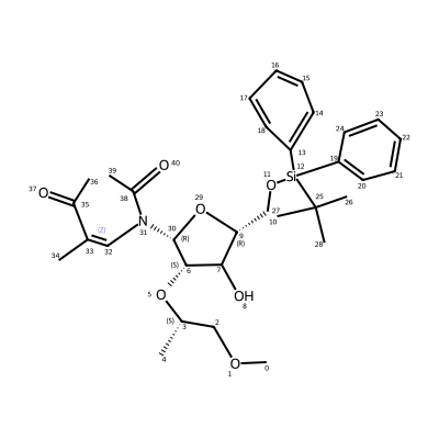 COC[C@H](C)O[C@H]1C(O)[C@@H](CO[Si](c2ccccc2)(c2ccccc2)C(C)(C)C)O[C@H]1N(/C=C(/C)C(C)=O)C(C)=O